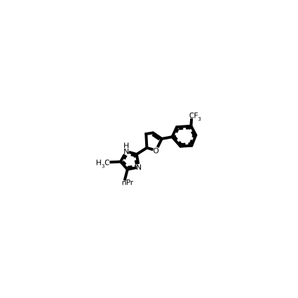 CCCc1nc(C2CC=C(c3cccc(C(F)(F)F)c3)O2)[nH]c1C